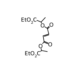 CCOC(=O)C(C)OC(=O)C=CC(=O)OC(C)C(=O)OCC